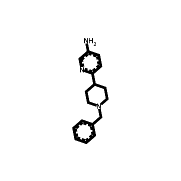 Nc1ccc(C2CCN(Cc3ccccc3)CC2)nc1